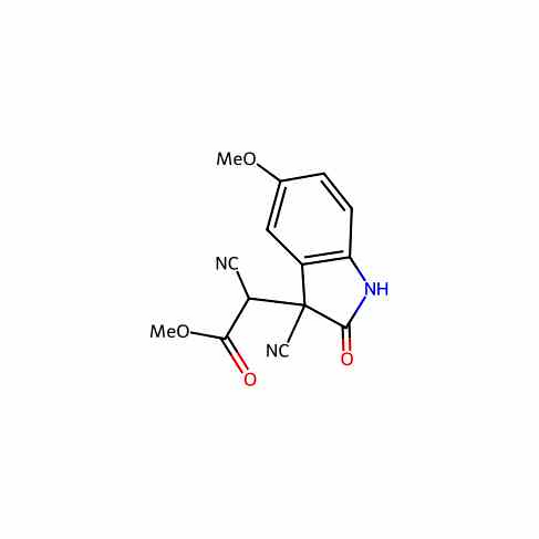 COC(=O)C(C#N)C1(C#N)C(=O)Nc2ccc(OC)cc21